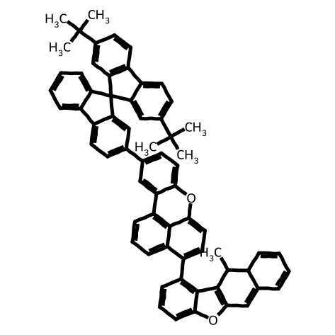 CC1c2c(oc3cccc(-c4ccc5c6c(cccc46)-c4cc(-c6ccc7c(c6)C6(c8ccccc8-7)c7cc(C(C)(C)C)ccc7-c7ccc(C(C)(C)C)cc76)ccc4O5)c23)C=C2C=CC=CC21